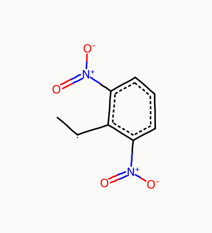 C[CH]c1c([N+](=O)[O-])cccc1[N+](=O)[O-]